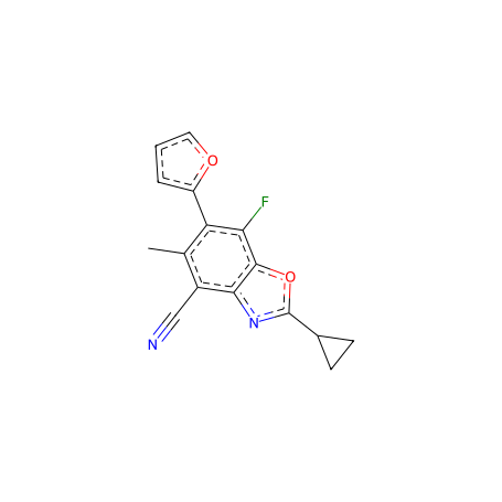 Cc1c(-c2ccco2)c(F)c2oc(C3CC3)nc2c1C#N